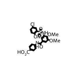 COc1ccc(Cl)cc1S(=O)(=O)Nc1cc(C(=O)Nc2ccc(C(=O)O)cc2)cc(OC)c1OC